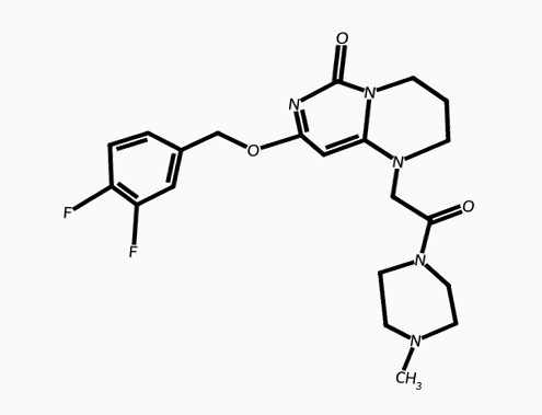 CN1CCN(C(=O)CN2CCCn3c2cc(OCc2ccc(F)c(F)c2)nc3=O)CC1